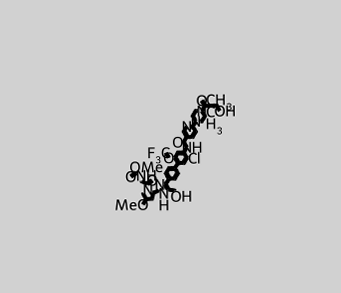 COC(=O)NCC(=O)N1CC(OC)CC1c1nc(-c2ccc(-c3cc(Cl)c(NC(=O)c4ccc(N5CCN(C(=O)C(C)(C)CO)CC5)nc4)cc3OC(F)(F)F)cc2)c(CO)[nH]1